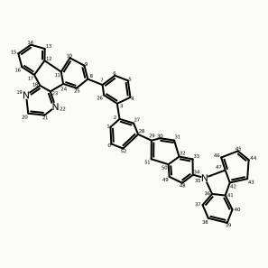 c1cc(-c2cccc(-c3ccc4c5ccccc5c5nccnc5c4c3)c2)cc(-c2ccc3cc(-n4c5ccccc5c5ccccc54)ccc3c2)c1